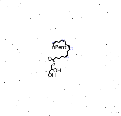 CCCCC/C=C\C/C=C\C/C=C\C/C=C\CCCC(=O)SCC(O)CO